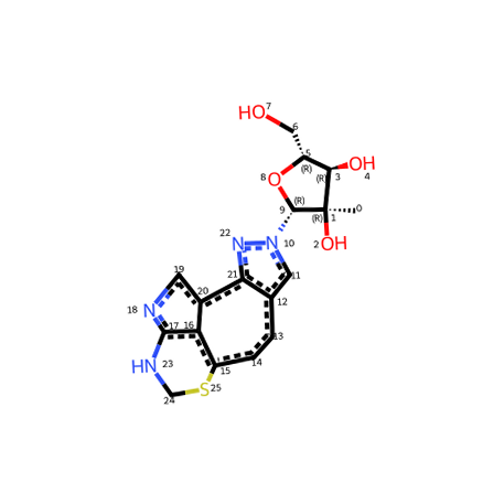 C[C@@]1(O)[C@H](O)[C@@H](CO)O[C@H]1n1cc2ccc3c4c(ncc-4c2n1)NCS3